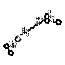 O=C(NCCCCCNC[C@@H](O)c1ccc(OCc2ccccc2)c2[nH]c(=O)ccc12)NCCN1CCC(OC(=O)Nc2ccccc2-c2ccccc2)CC1